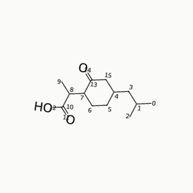 CC(C)CC1CCC(C(C)C(=O)O)C(=O)C1